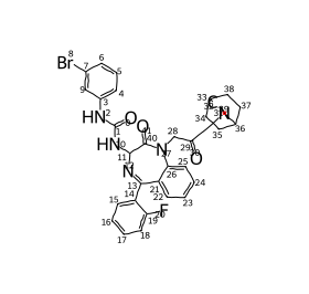 O=C(Nc1cccc(Br)c1)NC1N=C(c2ccccc2F)c2ccccc2N(CC(=O)N2CC3CCC(CC3)C2)C1=O